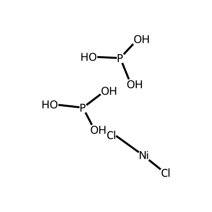 OP(O)O.OP(O)O.[Cl][Ni][Cl]